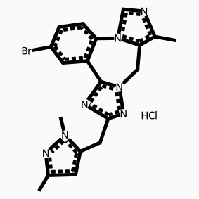 Cc1cc(Cc2nc3n(n2)Cc2c(C)ncn2-c2ccc(Br)cc2-3)n(C)n1.Cl